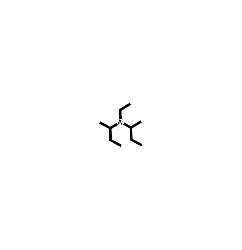 CC[CH](C)[Al]([CH2]C)[CH](C)CC